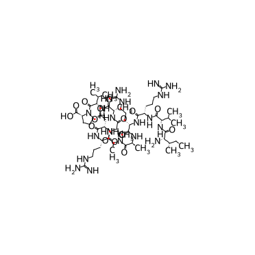 CC[C@H](C)[C@H](N)C(=O)N[C@H](C(=O)N[C@@H](CCCNC(=N)N)C(=O)N[C@@H](CCCNC(=N)N)C(=O)N[C@@H](C)C(=O)N[C@@H](C)C(=O)N[C@@H](CC(=O)O)C(=O)N[C@@H](CCCNC(=N)N)C(=O)N[C@@H](C)C(=O)N[C@@H](C)C(=O)N[C@H](C(=O)N1CCC[C@H]1C(=O)O)C(C)C)C(C)C